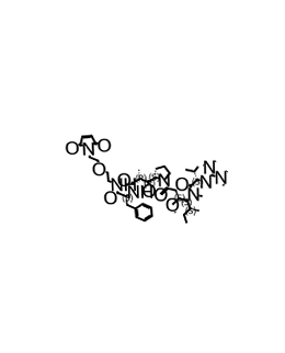 CC[C@H](C)[C@@H]([C@H](CC(=O)N1CCC[C@H]1[C@H](OC)[C@@H](C)C(=O)N[C@@H](Cc1ccccc1)C(=O)NCCOCCN1C(=O)C=CC1=O)OC)N(C)C(=O)[C@@H](N=C(N(C)C)N(C)C)C(C)C